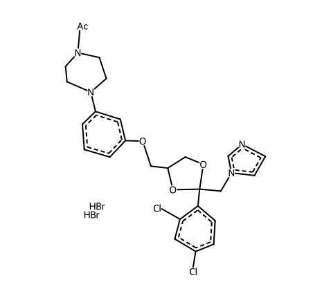 Br.Br.CC(=O)N1CCN(c2cccc(OCC3COC(Cn4ccnc4)(c4ccc(Cl)cc4Cl)O3)c2)CC1